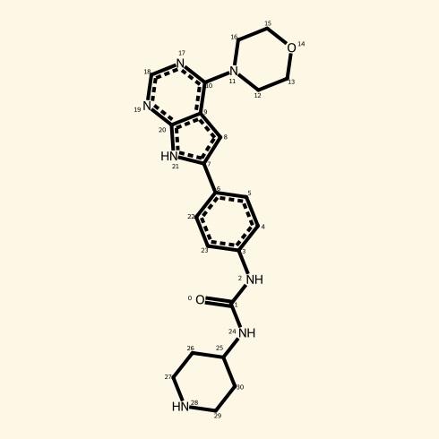 O=C(Nc1ccc(-c2cc3c(N4CCOCC4)ncnc3[nH]2)cc1)NC1CCNCC1